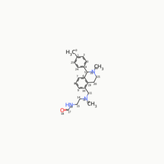 Cc1ccc(C2c3cccc(CN(C)CCNC=O)c3CCN2C)cc1